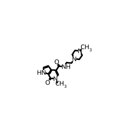 CN1CCN(CCNC(=O)c2cn(C)c(=O)c3[nH]ccc23)CC1